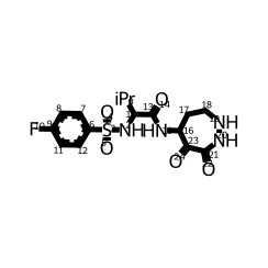 CC(C)C(NS(=O)(=O)c1ccc(F)cc1)C(=O)NC1CCNNC(=O)C1=O